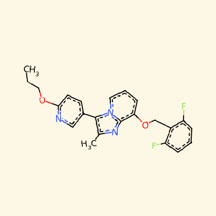 CCCOc1ccc(-c2c(C)nc3c(OCc4c(F)cccc4F)cccn23)cn1